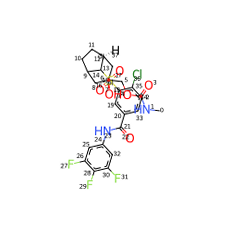 CNC(=O)OC[C@]1(O)CC2CC[C@@H](C1)C2S(=O)(=O)c1cc(C(=O)Nc2cc(F)c(F)c(F)c2)ccc1Cl